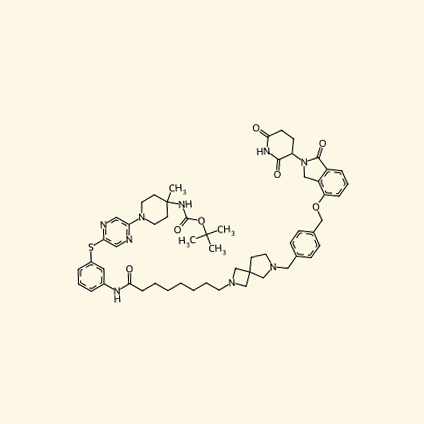 CC1(NC(=O)OC(C)(C)C)CCN(c2cnc(Sc3cccc(NC(=O)CCCCCCCN4CC5(CCN(Cc6ccc(COc7cccc8c7CN(C7CCC(=O)NC7=O)C8=O)cc6)C5)C4)c3)cn2)CC1